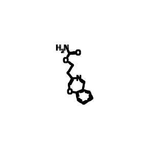 NC(=O)OCCC1=COc2ccccc2C=N1